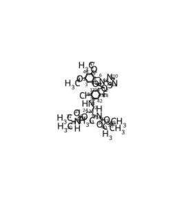 COc1ccc(CN(c2ncns2)S(=O)(=O)c2cc(Cl)c(NCC(COC(=O)NC(C)C)C(C)NC(=O)OC(C)(C)C)cc2F)c(OC)c1